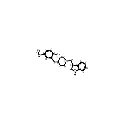 CCOc1ccc(Br)c(CC2CCN(CC3CNc4ccccc43)CC2)c1